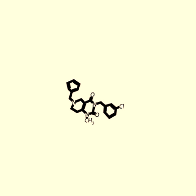 Cn1c2c(c(=O)n(Cc3cccc(Cl)c3)c1=O)CN(Cc1ccccc1)CC2